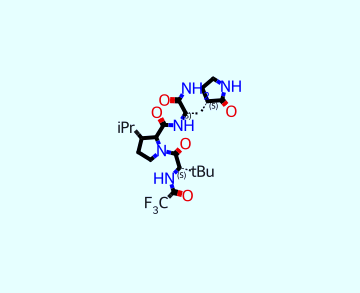 CC(C)C1CCN(C(=O)[C@@H](NC(=O)C(F)(F)F)C(C)(C)C)C1C(=O)N[C@@H](C[C@@H]1CCNC1=O)C(N)=O